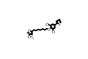 Cc1cc(CCCCCCCOc2c(Cl)cc(-c3cccs3)cc2Cl)on1